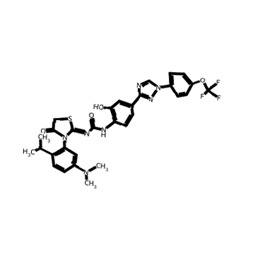 CC(C)c1ccc(N(C)C)cc1N1C(=O)CS/C1=N\C(=O)Nc1ccc(-c2ncn(-c3ccc(OC(F)(F)F)cc3)n2)cc1O